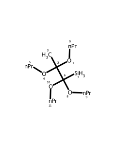 CCCOC(C)(OCCC)C([SiH3])(OCCC)OCCC